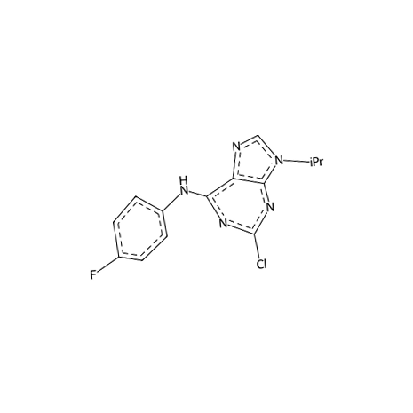 CC(C)n1cnc2c(Nc3ccc(F)cc3)nc(Cl)nc21